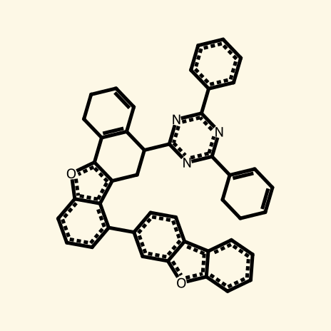 C1=CCCC(c2nc(-c3ccccc3)nc(C3Cc4c(oc5cccc(-c6ccc7c(c6)oc6ccccc67)c45)C4=C3C=CCC4)n2)=C1